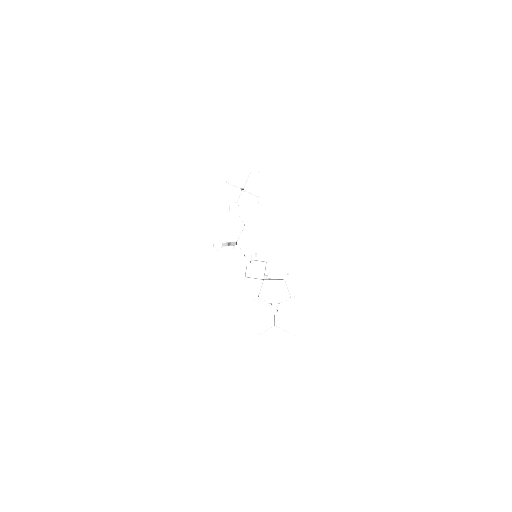 CC(C)N1CCC2(CN(C(=O)COC(C)(C)C)C2)C1